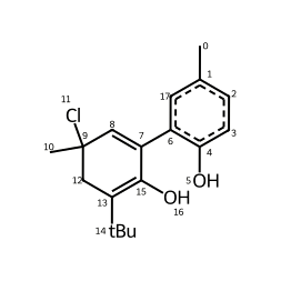 Cc1ccc(O)c(C2=CC(C)(Cl)CC(C(C)(C)C)=C2O)c1